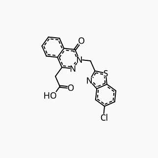 O=C(O)Cc1nn(Cc2nc3cc(Cl)ccc3s2)c(=O)c2ccccc12